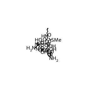 C=CCCC(=O)N[C@@H](CC(=O)SC)C(=O)O[C@H]1[C@@H](O)[C@H](n2cnc3c(N)ncnc32)O[C@@H]1COP(=O)(O)[C@H]1[C@@H](O)[C@H](n2ccc(N)nc2=O)O[C@@H]1COP(=O)(O)O